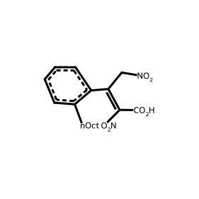 CCCCCCCCc1ccccc1C(C[N+](=O)[O-])=C(C(=O)O)[N+](=O)[O-]